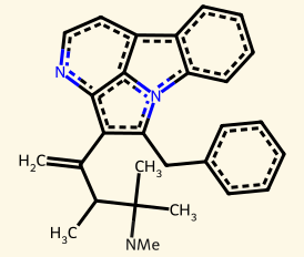 C=C(c1c(Cc2ccccc2)n2c3ccccc3c3ccnc1c32)C(C)C(C)(C)NC